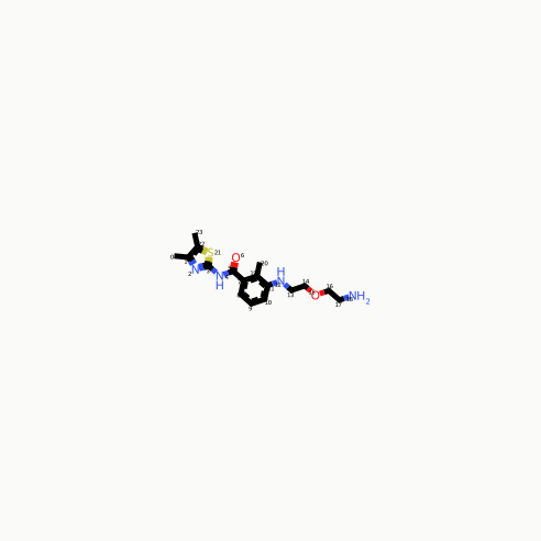 Cc1nc(NC(=O)c2cccc(NCCOCCN)c2C)sc1C